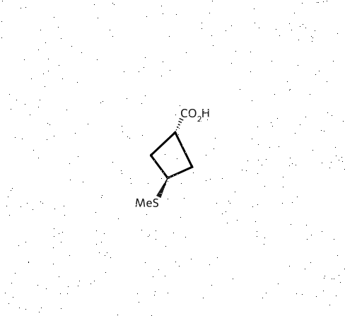 CS[C@H]1C[C@H](C(=O)O)C1